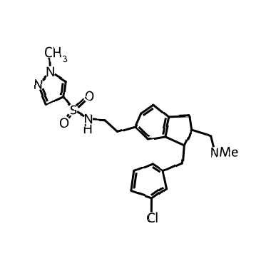 CNCC1Cc2ccc(CCNS(=O)(=O)c3cnn(C)c3)cc2C1Cc1cccc(Cl)c1